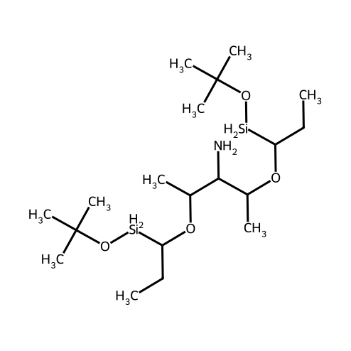 CCC(OC(C)C(N)C(C)OC(CC)[SiH2]OC(C)(C)C)[SiH2]OC(C)(C)C